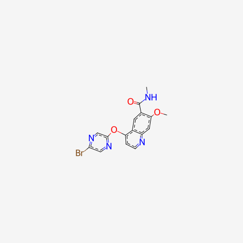 CNC(=O)c1cc2c(Oc3cnc(Br)cn3)ccnc2cc1OC